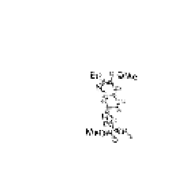 CCc1nc2cc(/C=C/C(C)(C)C(=O)OC)ccc2cc1COC